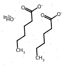 CCCCCC(=O)[O-].CCCCCC(=O)[O-].[In+3].[OH-]